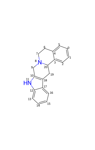 c1ccc2c(c1)CCN1Cc3[nH]c4ccccc4c3CC21